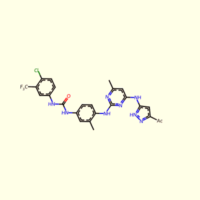 CC(=O)c1cc(Nc2cc(C)nc(Nc3ccc(NC(=O)Nc4ccc(Cl)c(C(F)(F)F)c4)cc3C)n2)[nH]n1